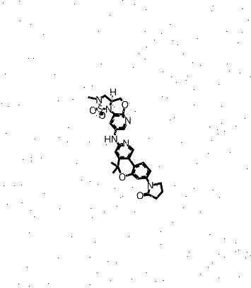 CN1C[C@H]2COc3ncc(Nc4cc5c(cn4)-c4ccc(N6CCCC6=O)cc4OC5(C)C)cc3N2S1(=O)=O